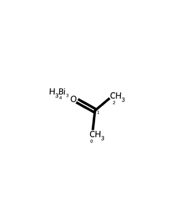 CC(C)=O.[BiH3]